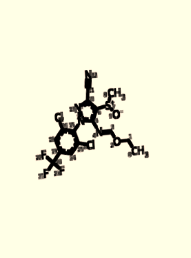 CCOC=Nc1c([S+](C)[O-])c(C#N)nn1-c1c(Cl)cc(C(F)(F)F)cc1Cl